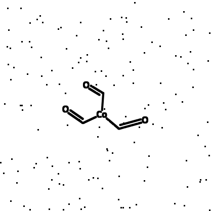 O=[CH][Co]([CH]=O)[CH]=O